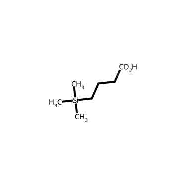 C[Si](C)(C)CCCC(=O)O